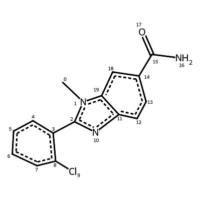 Cn1c(-c2ccccc2Cl)nc2ccc(C(N)=O)cc21